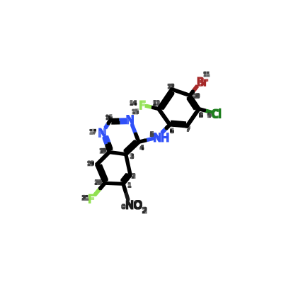 O=[N+]([O-])c1cc2c(Nc3cc(Cl)c(Br)cc3F)ncnc2cc1F